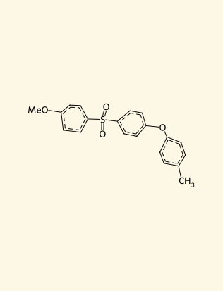 COc1ccc(S(=O)(=O)c2ccc(Oc3ccc(C)cc3)cc2)cc1